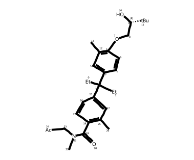 CCC(CC)(c1ccc(OC[C@H](O)C(C)(C)C)c(C)c1)c1ccc(C(=O)N(C)CC(C)=O)c(C)c1